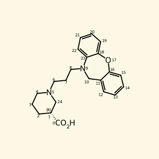 O=C(O)[C@@H]1CCCN(CCCN2Cc3ccccc3Oc3ccccc32)C1